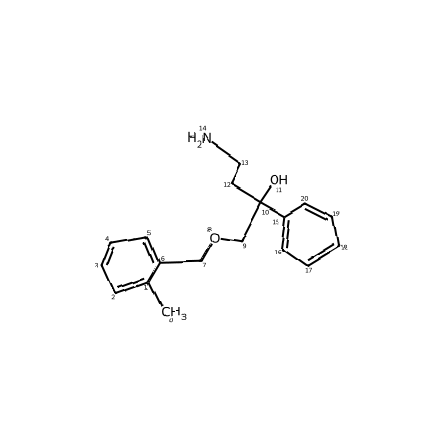 Cc1ccccc1COCC(O)(CCN)c1ccccc1